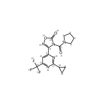 O=C(N1CCCC1)n1c(-c2cc(C(F)(F)F)nc(C3CC3)n2)noc1=O